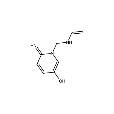 C=CNCn1cc(O)ccc1=N